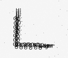 [H+].[H+].[H+].[H+].[H+].[H+].[H+].[H+].[H+].[H+].[H+].[H+].[Hg].[O-]B([O-])[O-].[O-]B([O-])[O-].[O-]B([O-])[O-].[O-]B([O-])[O-].[O-]B([O-])[O-].[O-]B([O-])[O-].[O-]B([O-])[O-].[O-]B([O-])[O-].[O-]B([O-])[O-].[O-]B([O-])[O-].[O-]B([O-])[O-].[O-]B([O-])[O-]